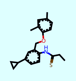 CCC(=S)Nc1ccc(C2CC2)cc1COc1ccc(C)cc1C